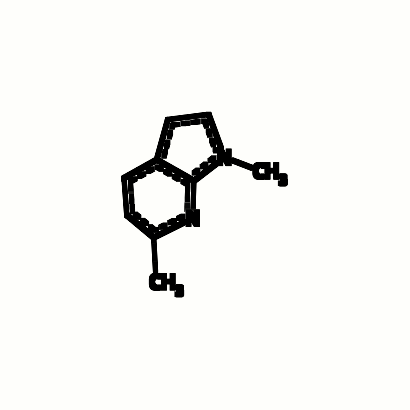 Cc1ccc2ccn(C)c2n1